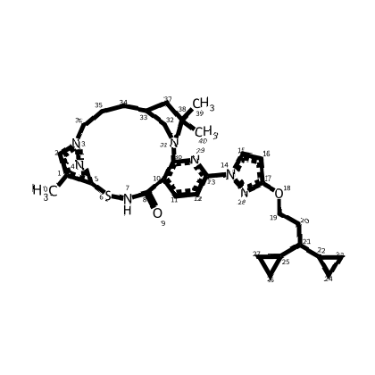 Cc1cn2nc1SNC(=O)c1ccc(-n3ccc(OCCC(C4CC4)C4CC4)n3)nc1N1CC(CCC2)CC1(C)C